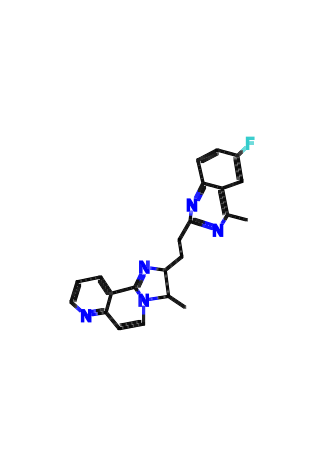 Cc1nc(CCC2N=C3c4cccnc4C=CN3C2C)nc2ccc(F)cc12